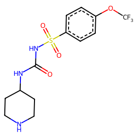 O=C(NC1CCNCC1)NS(=O)(=O)c1ccc(OC(F)(F)F)cc1